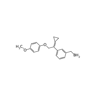 BCc1cccc(C(COc2ccc(OC)cc2)=C2CC2)c1